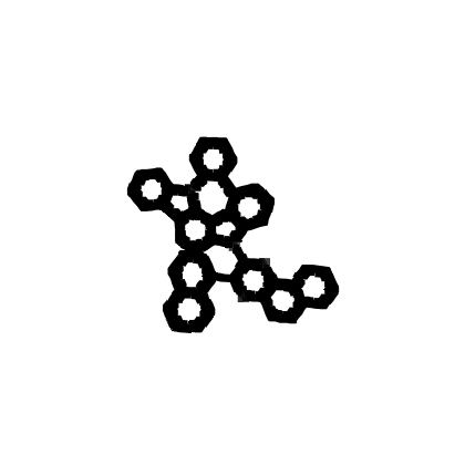 c1ccc2c(-c3nc4ccc5ccccc5c4nc3-n3c4cccc5c6ccccc6n6c7ccccc7c7ccc3c(c54)c76)cccc2c1